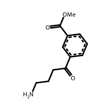 COC(=O)c1cccc(C(=O)CCCN)c1